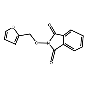 O=C1c2ccccc2C(=O)N1OCc1ccco1